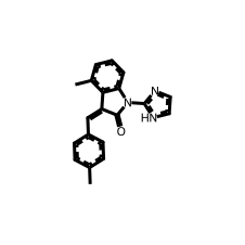 Cc1ccc(C=C2C(=O)N(c3ncc[nH]3)c3cccc(C)c32)cc1